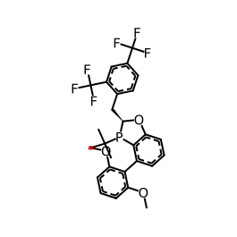 COc1cccc(OC)c1-c1cccc2c1P(C(C)(C)C)[C@@H](Cc1ccc(C(F)(F)F)cc1C(F)(F)F)O2